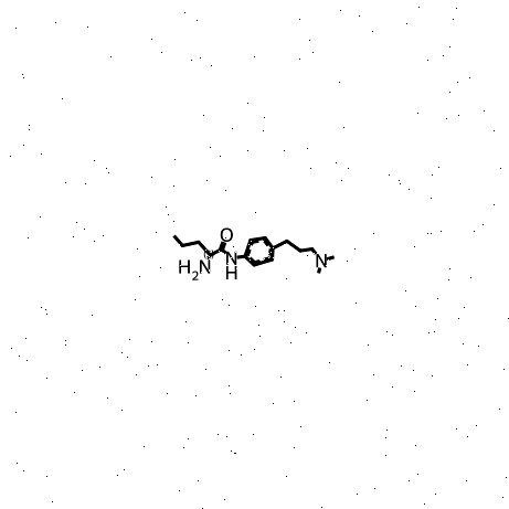 CCC[C@H](N)C(=O)Nc1ccc(CCCN(C)C)cc1